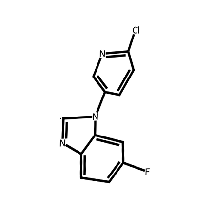 Fc1ccc2n[c]n(-c3ccc(Cl)nc3)c2c1